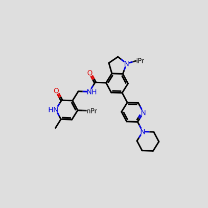 CCCc1cc(C)[nH]c(=O)c1CNC(=O)c1cc(-c2ccc(N3CCCCC3)nc2)cc2c1CCN2C(C)C